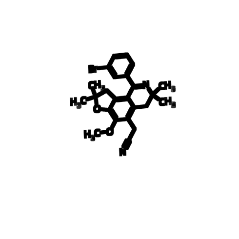 COc1c(CC#N)c2c(c3c1OC(C)(C)C3)C(c1cccc(Br)c1)=NC(C)(C)C2